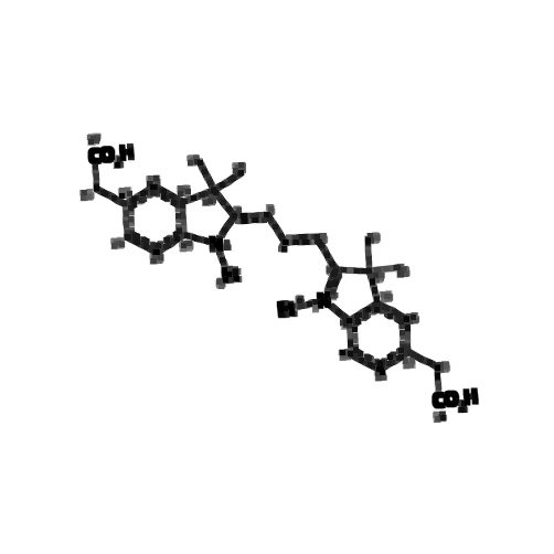 CCN1/C(=C\C=C\C2=[N+](CC)c3ccc(CC(=O)O)cc3C2(C)C)C(C)(C)c2cc(CC(=O)O)ccc21